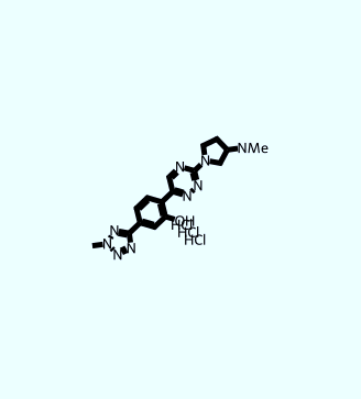 CNC1CCN(c2ncc(-c3ccc(-c4nnn(C)n4)cc3O)nn2)C1.Cl.Cl.Cl